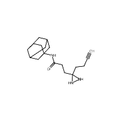 C#CCCC1(CCC(=O)NC23CC4CC(CC(C4)C2)C3)NN1